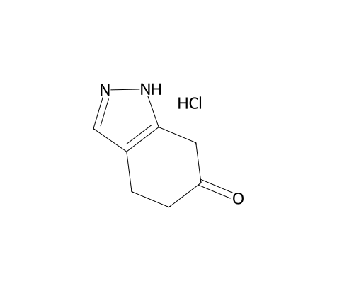 Cl.O=C1CCc2cn[nH]c2C1